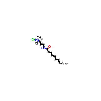 CCCCCCCCCCCCCCCCCC(=O)NCCC[N+](C)(C)Cl